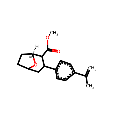 C=C(C)c1ccc(C2CC3CC[C@H](O3)C2C(=O)OC)cc1